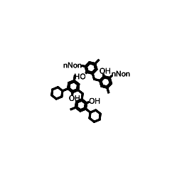 CCCCCCCCCc1cc(C)cc(Cc2cc(C)cc(CCCCCCCCC)c2O)c1O.Cc1cc(Cc2cc(C)cc(C3CCCCC3)c2O)c(O)c(C2CCCCC2)c1